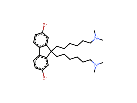 CN(C)CCCCCCC1(CCCCCCN(C)C)c2cc(Br)ccc2-c2ccc(Br)cc21